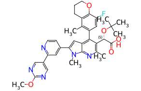 COc1ncc(-c2cc(-c3cc4c(-c5cc(F)c6c(c5C)CCCO6)c([C@H](OC(C)(C)C)C(=O)O)c(C)nc4n3C)ccn2)cn1